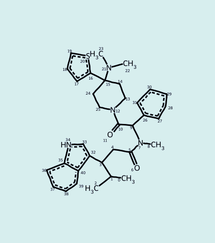 CC(C)C(CC(=O)N(C)C(C(=O)N1CCC(c2cccs2)(N(C)C)CC1)c1ccccc1)c1c[nH]c2ccccc12